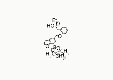 CCOC(O)Cc1ccccc1OCc1cc(B2OC(C)(C)C(C)(C)O2)c2occc2c1